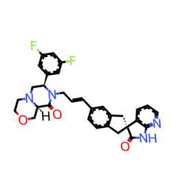 O=C1[C@H]2COCCN2C[C@@H](c2cc(F)cc(F)c2)N1C/C=C/c1ccc2c(c1)C[C@@]1(C2)C(=O)Nc2ncccc21